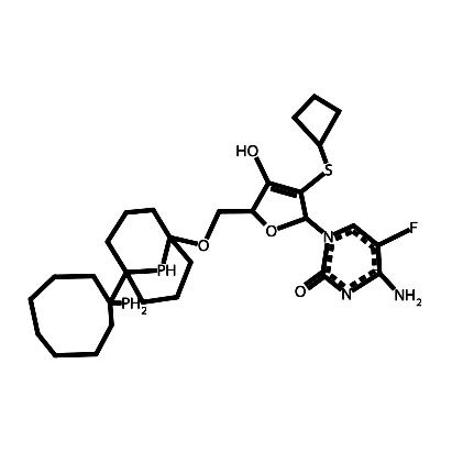 Nc1nc(=O)n(C2OC(COC34CCCC(C5(P)CCCCCCC5)(CCC3)P4)C(O)=C2SC2CCC2)cc1F